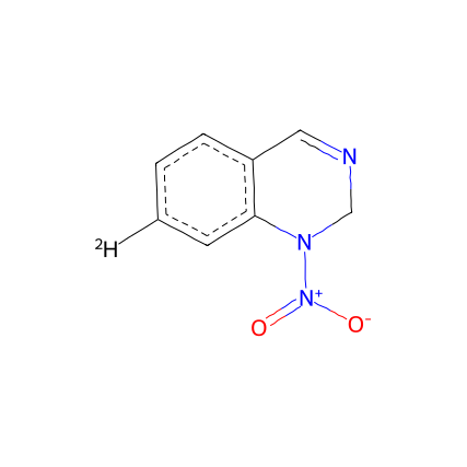 [2H]c1ccc2c(c1)N([N+](=O)[O-])CN=C2